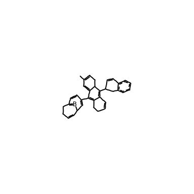 CC1=CCC2C(=C1)C(C1=CC3B=C(C=C1)CCC=C3)=C1CCC=CC1=C2C1C=Cc2ccccc2C1